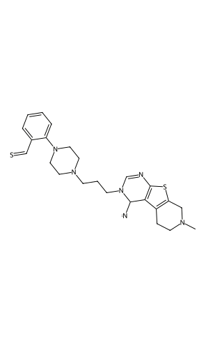 CN1CCc2c(sc3c2C([N])N(CCCN2CCN(c4ccccc4C=S)CC2)C=N3)C1